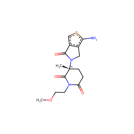 COCCN1C(=O)CC[C@@](C)(N2Cc3c(csc3N)C2=O)C1=O